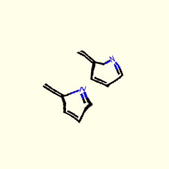 C=C1C=CC=N1.C=C1C=CC=N1